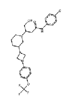 O=C(CC(CO)N1CCCC(C2CN(c3ccc(OC(F)(F)F)cc3)C2)C1)Nc1ccc(Cl)cc1